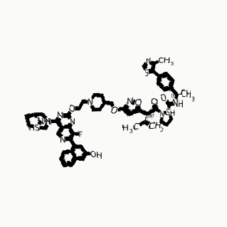 Cc1ncsc1-c1ccc([C@H](C)NC(=O)[SH]2CCCN2C(=O)[C@@H](c2cc(OCC3CCN(CCOc4nc(N5CC6CC[SH](C5)N6)c5cnc(-c6cc(O)cc7ccccc67)c(F)c5n4)CC3)no2)C(C)C)cc1